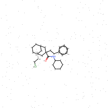 O=C(NC1CCCCC1)C1(CCc2ccccc2)CC2CCC[C@@](CCCl)(C2)C1